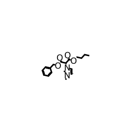 CCCCOC(=O)[C@H](C(=O)OCc1ccccc1)n1cc[n+](C)c1